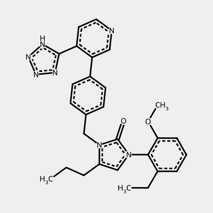 CCCc1cn(-c2c(CC)cccc2OC)c(=O)n1Cc1ccc(-c2cnccc2-c2nnn[nH]2)cc1